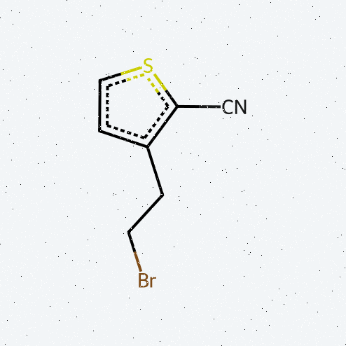 N#Cc1sccc1CCBr